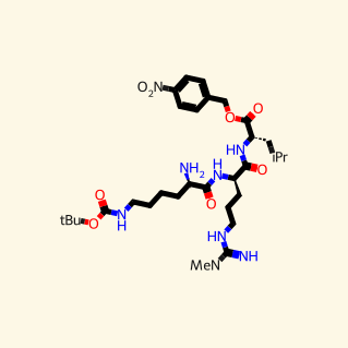 CNC(=N)NCCC[C@@H](NC(=O)[C@H](N)CCCCNC(=O)OC(C)(C)C)C(=O)N[C@@H](CC(C)C)C(=O)OCc1ccc([N+](=O)[O-])cc1